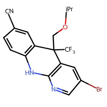 CC(C)OCC1(C(F)(F)F)c2cc(C#N)ccc2Nc2ncc(Br)cc21